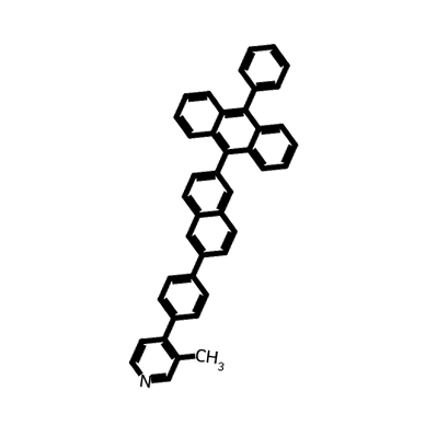 Cc1cnccc1-c1ccc(-c2ccc3cc(-c4c5ccccc5c(-c5ccccc5)c5ccccc45)ccc3c2)cc1